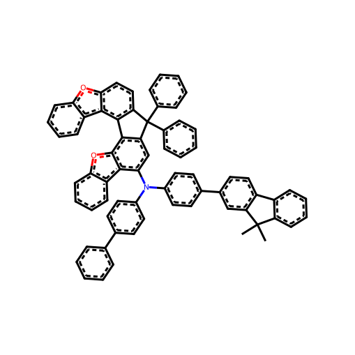 CC1(C)c2ccccc2-c2ccc(-c3ccc(N(c4ccc(-c5ccccc5)cc4)c4cc5c(c6oc7ccccc7c46)-c4c(ccc6oc7ccccc7c46)C5(c4ccccc4)c4ccccc4)cc3)cc21